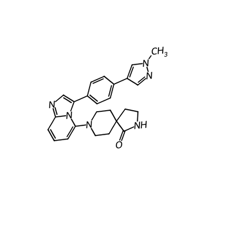 Cn1cc(-c2ccc(-c3cnc4cccc(N5CCC6(CCNC6=O)CC5)n34)cc2)cn1